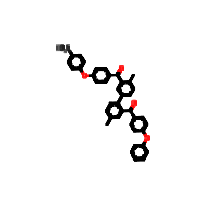 Cc1ccc(-c2ccc(C)c(C(=O)c3ccc(Oc4ccc(S(=O)(=O)O)cc4)cc3)c2)c(C(=O)c2ccc(Oc3ccccc3)cc2)c1